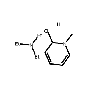 CCN(CC)CC.CN1C=CC=CC1Cl.I